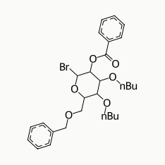 CCCCOC1C(COCc2ccccc2)OC(Br)C(OC(=O)c2ccccc2)C1OCCCC